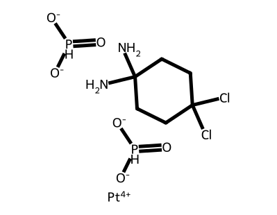 NC1(N)CCC(Cl)(Cl)CC1.O=[PH]([O-])[O-].O=[PH]([O-])[O-].[Pt+4]